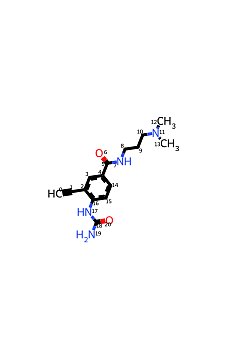 C#Cc1cc(C(=O)NCCCN(C)C)ccc1NC(N)=O